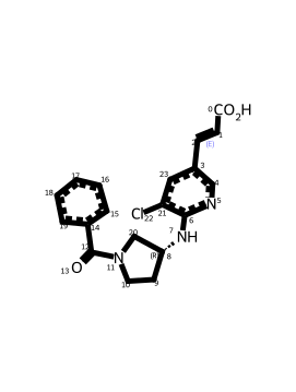 O=C(O)/C=C/c1cnc(N[C@@H]2CCN(C(=O)c3ccccc3)C2)c(Cl)c1